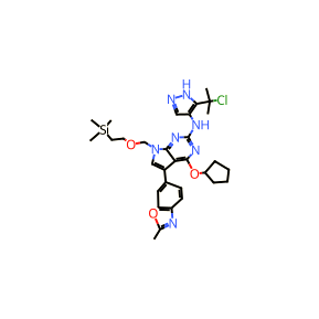 Cc1nc2ccc(-c3cn(COCC[Si](C)(C)C)c4nc(Nc5cn[nH]c5C(C)(C)Cl)nc(OC5CCCC5)c34)cc2o1